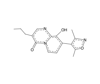 CCCc1cnc2c(O)c(-c3c(C)noc3C)ccn2c1=O